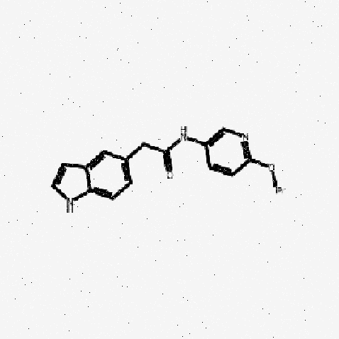 CC(C)Oc1ccc(NC(=O)Cc2ccc3[nH]ccc3c2)cn1